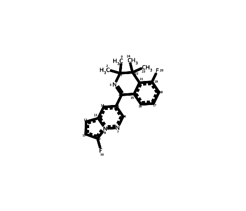 CC1(C)N=C(c2cnn3c(F)ccc3c2)c2cccc(F)c2C1(C)C